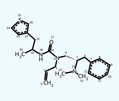 C=CCN(C[C@H](Cc1ccccc1)N(C)C)C(=O)NC(C)Cc1ccsc1